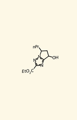 CCCC1CC(O)c2nc(C(=O)OCC)nn21